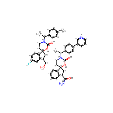 CC(c1ccc(-c2cccnc2)cc1)N1CCC(CCC(N)=O)(c2ccccc2)OC1=O.CC(c1ccc(C(F)(F)F)cc1)N1CCC(CCCO)(c2ccc(F)cc2)OC1=O